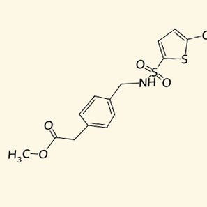 COC(=O)Cc1ccc(CNS(=O)(=O)c2ccc(Cl)s2)cc1